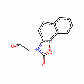 O=CCn1c(=O)oc2c3ccccc3ccc21